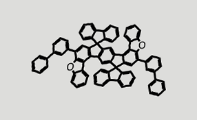 c1ccc(-c2cccc(-c3cc4c(c5c3oc3ccccc35)-c3cc5c(cc3C43c4ccccc4-c4ccccc43)-c3c(cc(-c4cccc(-c6ccccc6)c4)c4oc6ccccc6c34)C53c4ccccc4-c4ccccc43)c2)cc1